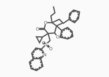 CCCC1(CCc2ccccc2)OC(=O)C(CS(=O)(=O)c2ccc3ccccc3n2)(C2CC2)C(O)C1(C)c1ccccc1